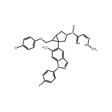 CN/N=C\C(=N)[S+]([O-])N1CC2C(COc3ccc(Cl)cc3)C2(c2cc3cnn(-c4ccc(F)cc4)c3cc2C)C1